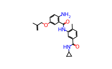 C=C(C)COc1ccc(N)c(C(=O)Nc2cc(C(=O)NC3CC3)ccc2C)c1